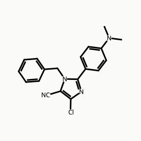 CN(C)c1ccc(-c2nc(Cl)c(C#N)n2Cc2ccccc2)cc1